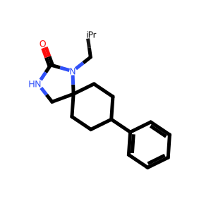 CC(C)CN1C(=O)NCC12CCC(c1ccccc1)CC2